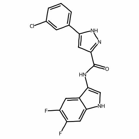 O=C(Nc1c[nH]c2cc(F)c(F)cc12)c1cc(-c2cccc(Cl)c2)[nH]n1